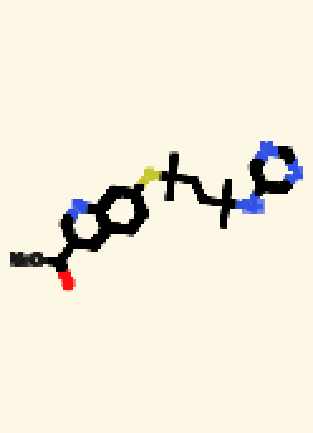 COC(=O)c1cnc2cc(SC(C)(C)CCC(C)(C)Nc3cncnc3)ccc2c1